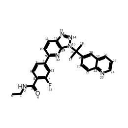 CCNC(=O)c1ccc(-c2ccc3nnn(C(C)(C)c4ccc5ncccc5c4)c3n2)cc1F